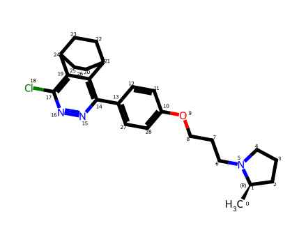 C[C@@H]1CCCN1CCCOc1ccc(-c2nnc(Cl)c3c2C2CCC3CC2)cc1